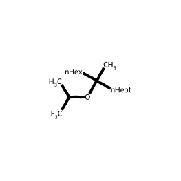 CCCCCCCC(C)(CCCCCC)OC(C)C(F)(F)F